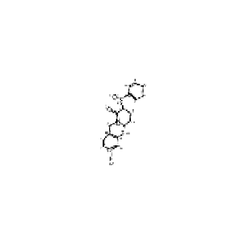 O=C1C([S+]([O-])c2ccccc2)CCCN1Cc1ccc(F)cc1F